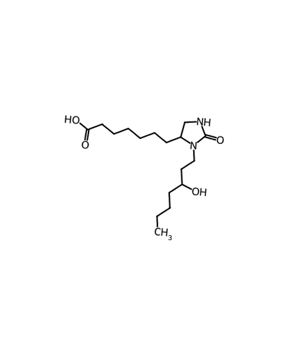 CCCCC(O)CCN1C(=O)NCC1CCCCCCC(=O)O